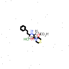 CCOC(=O)C(CCc1ccccc1)N[C@@H](C)C(=O)N1CCSCC1OC(=O)O.Cl